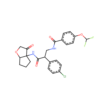 O=C(NCC(C(=O)NC12CCCC1OCC2=O)c1ccc(Cl)cc1)c1ccc(OC(F)F)cc1